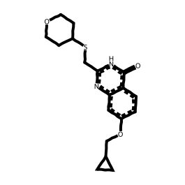 O=c1[nH]c(CSC2CCOCC2)nc2cc(OCC3CC3)ccc12